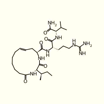 CC[C@@H](C)[C@@H]1NC(=O)CCCCC/C=C/C[C@@H](C(=O)N[C@@H](CCCNC(=N)N)C(=O)N[C@H](C(N)=O)C(C)C)NC1=O